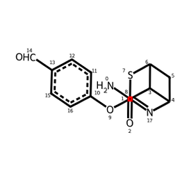 NC(=O)C1C2CC1SC(Oc1ccc(C=O)cc1)=N2